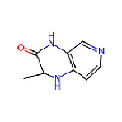 CC1Nc2ccncc2NC1=O